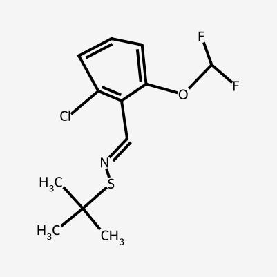 CC(C)(C)SN=Cc1c(Cl)cccc1OC(F)F